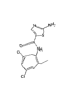 Cc1cc(Cl)cc(Cl)c1NC(=O)c1cnc(N)s1